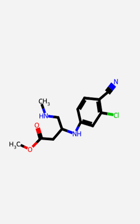 CNCC(CC(=O)OC)Nc1ccc(C#N)c(Cl)c1